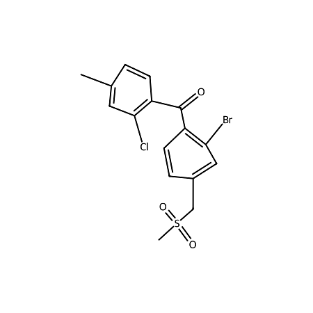 Cc1ccc(C(=O)c2ccc(CS(C)(=O)=O)cc2Br)c(Cl)c1